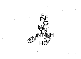 O[C@H]1CC[C@H](Nc2nc(N3CC(N4CCOCC4)C3)c3cnn(-c4cccc(C(F)(F)F)c4)c3n2)C1